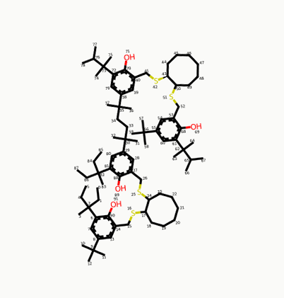 CCC(C)(CC)c1cc(C(C)(C)C)cc(CSC2CCCCCCC2SCc2cc(C(C)(C)CCC(C)(C)c3cc(CS[C@H]4CCCCCCC4SCc4cc(C(C)(C)C)cc(C(C)(C)C(C)C)c4O)c(O)c(C(C)(C)C(C)C)c3)cc(C(C)(CC)CC)c2O)c1O